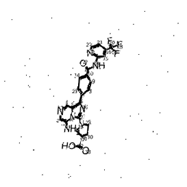 Nc1cncc2c(-c3ccc(C(=O)Nc4cc(C(F)(F)F)ccn4)cc3)nc(N3CC[C@@H](C(=O)O)C3)n12